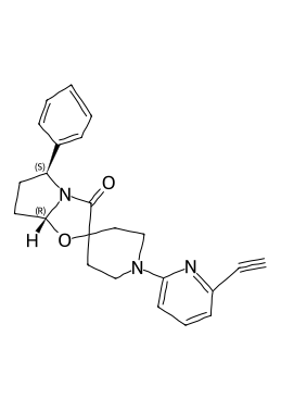 C#Cc1cccc(N2CCC3(CC2)O[C@@H]2CC[C@@H](c4ccccc4)N2C3=O)n1